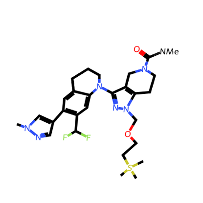 CNC(=O)N1CCc2c(c(N3CCCc4cc(-c5cnn(C)c5)c(C(F)F)cc43)nn2COCCS(C)(C)C)C1